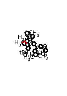 Cc1cc2c3c(c1)N1c4c(cccc4C4(C)CCCCC14C)B3c1ccc(N(c3ccc4c(c3)C(C)(C)CCC4(C)C)c3ccc4oc5ccccc5c4c3)cc1N2c1ccc(C(C)(C)C)cc1-c1ccccc1